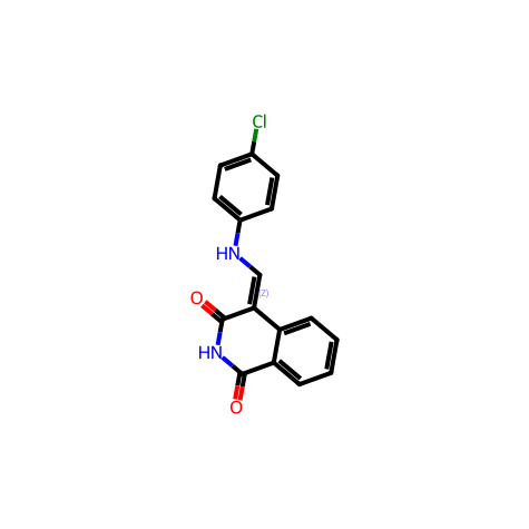 O=C1NC(=O)c2ccccc2/C1=C/Nc1ccc(Cl)cc1